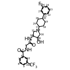 O=C(CNC(=O)c1cccc(C(F)(F)F)c1)N[C@H]1CN(C2CCC(c3cccc(F)c3)CC2)C[C@H]1O